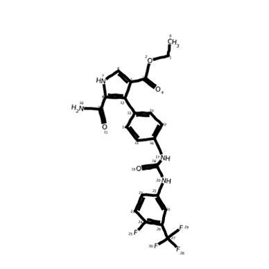 CCOC(=O)c1c[nH]c(C(N)=O)c1-c1ccc(NC(=O)Nc2ccc(F)c(C(F)(F)F)c2)cc1